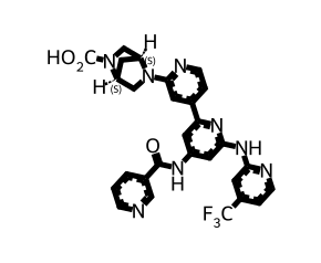 O=C(Nc1cc(Nc2cc(C(F)(F)F)ccn2)nc(-c2ccnc(N3C[C@@H]4C[C@H]3CN4C(=O)O)c2)c1)c1cccnc1